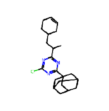 CC(CC1CC=CCC1)c1nc(Cl)nc(C23CC4CC(CC(C4)C2)C3)n1